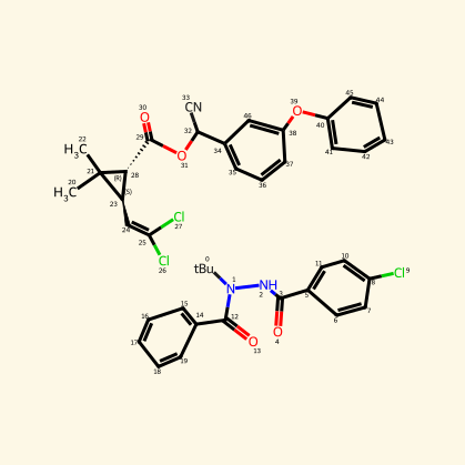 CC(C)(C)N(NC(=O)c1ccc(Cl)cc1)C(=O)c1ccccc1.CC1(C)[C@H](C=C(Cl)Cl)[C@H]1C(=O)OC(C#N)c1cccc(Oc2ccccc2)c1